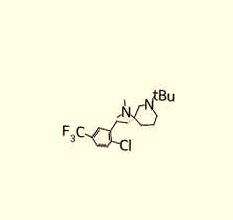 CN(C)[C@]1(CCc2cc(C(F)(F)F)ccc2Cl)CCCN(C(C)(C)C)C1